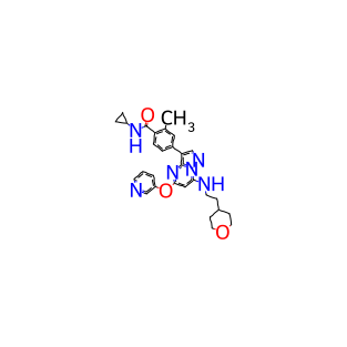 Cc1cc(-c2cnn3c(NCCC4CCOCC4)cc(Oc4cccnc4)nc23)ccc1C(=O)NC1CC1